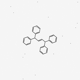 C(=CC(c1ccccc1)c1ccccc1)C(c1ccccc1)c1ccccc1